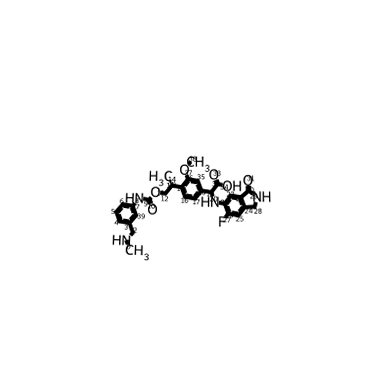 CNCc1cccc(NC(=O)OC[C@H](C)c2ccc(C(Nc3cc4c(cc3F)CNC4=O)C(=O)O)cc2OC)c1